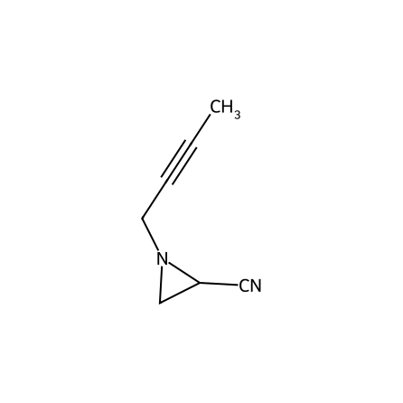 CC#CCN1CC1C#N